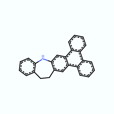 c1ccc2c(c1)CCc1cc3c4ccccc4c4ccccc4c3cc1N2